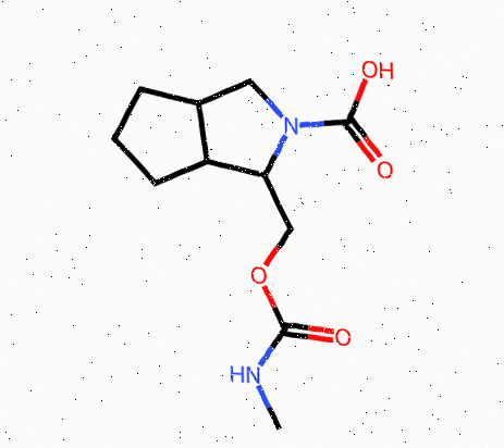 CNC(=O)OCC1C2CCCC2CN1C(=O)O